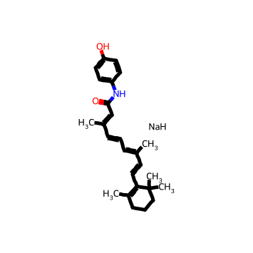 CC(C=CC1=C(C)CCCC1(C)C)=CC=CC(C)=CC(=O)Nc1ccc(O)cc1.[NaH]